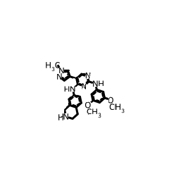 COc1cc(Nc2ncc(-c3cnn(C)c3)c(Nc3ccc4c(c3)CNCC4)n2)cc(OC)c1